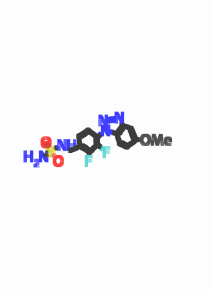 COc1ccc2c(c1)nnn2-c1ccc(CNS(N)(=O)=O)c(F)c1F